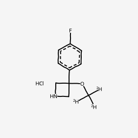 Cl.[2H]C([2H])([2H])OC1(c2ccc(F)cc2)CNC1